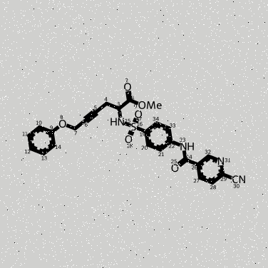 COC(=O)C(CC#CCOc1ccccc1)NS(=O)(=O)c1ccc(NC(=O)c2ccc(C#N)nc2)cc1